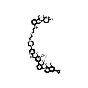 Cn1cc(-c2cccc(-n3ccc4cc(C5CC5)cc(F)c4c3=O)c2CO)cc(Nc2ccc(N3CCN(CCOCCNc4cccc5c4CN(C4CCC(=O)NC4=O)C5=O)CC3)cn2)c1=O